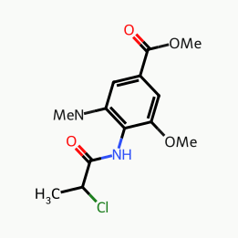 CNc1cc(C(=O)OC)cc(OC)c1NC(=O)C(C)Cl